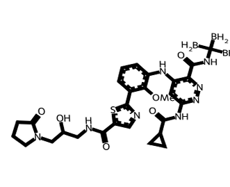 BC(B)(B)NC(=O)c1nnc(NC(=O)C2CC2)cc1Nc1cccc(-c2ncc(C(=O)NCC(O)CN3CCCC3=O)s2)c1OC